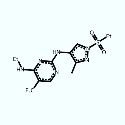 CCNc1nc(Nc2cn(S(=O)(=O)CC)nc2C)ncc1C(F)(F)F